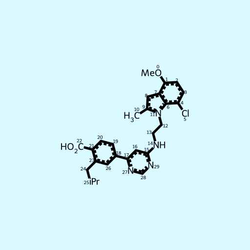 COc1ccc(Cl)c2c1cc(C)n2CCNc1cc(-c2ccc(C(=O)O)c(CC(C)C)c2)ncn1